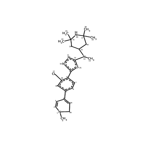 CN1C=CC(c2ccc(-c3nnc(N(C)C4CC(C)(C)NC(C)(C)C4)s3)c(Cl)c2)=CC1